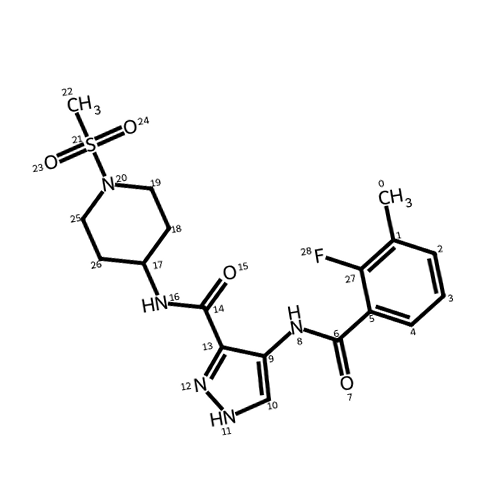 Cc1cccc(C(=O)Nc2c[nH]nc2C(=O)NC2CCN(S(C)(=O)=O)CC2)c1F